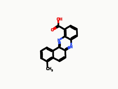 Cc1cccc2c1ccc1nc3cccc(C(=O)O)c3nc12